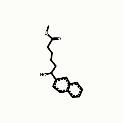 COC(=O)CCCCC(O)c1ccc2ccccc2c1